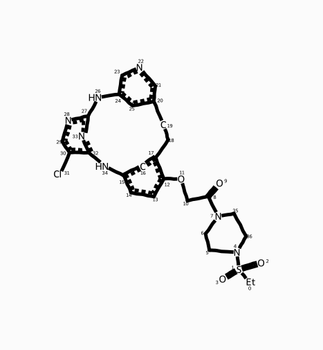 CCS(=O)(=O)N1CCN(C(=O)COc2ccc3cc2CCc2cncc(c2)Nc2ncc(Cl)c(n2)N3)CC1